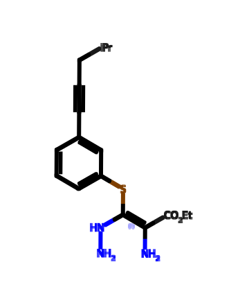 CCOC(=O)/C(N)=C(/NN)Sc1cccc(C#CCC(C)C)c1